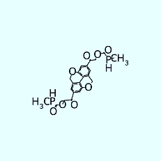 CPC(=O)OCC(=O)c1cc2c3c(c1)OCc1cc(C(=O)COC(=O)PC)cc(c1-3)OC2